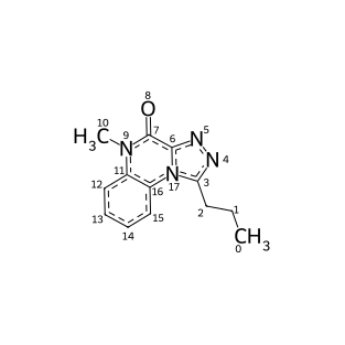 CCCc1nnc2c(=O)n(C)c3ccccc3n12